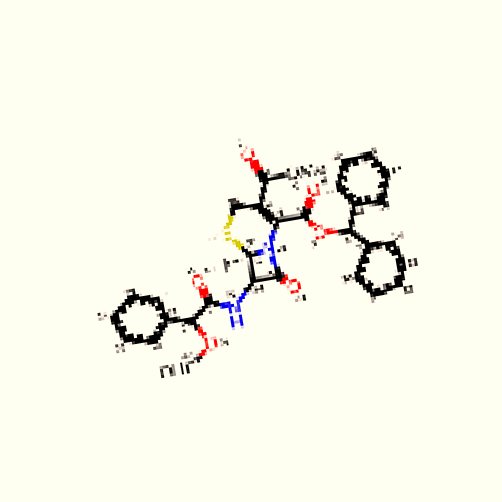 COC(=O)C1=C(C(=O)OC(c2ccccc2)c2ccccc2)N2C(=O)C(NC(=O)C(OC=O)c3ccccc3)[C@H]2SC1